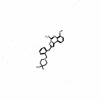 COc1cccc2c1nc(N)n1nc(Cc3ccccc3CN3CCC(C)(O)CC3)cc21